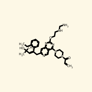 C=CC(=O)N1CCN(c2nc(OCCNCN)nc3cc(C/C(=C/C(C)(C)O)c4ccccc4CC)ncc23)CC1